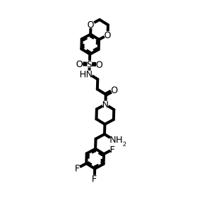 NC(Cc1cc(F)c(F)cc1F)C1CCN(C(=O)CCNS(=O)(=O)c2ccc3c(c2)OCCO3)CC1